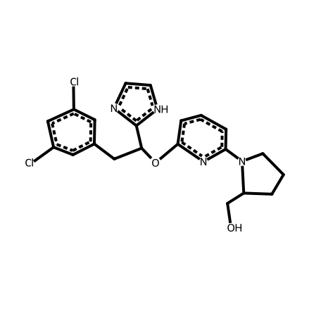 OCC1CCCN1c1cccc(OC(Cc2cc(Cl)cc(Cl)c2)c2ncc[nH]2)n1